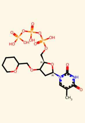 Cc1cn([C@H]2CC(OCC3CCCCO3)[C@@H](COP(=O)(O)OP(=O)(O)OP(=O)(O)O)O2)c(=O)[nH]c1=O